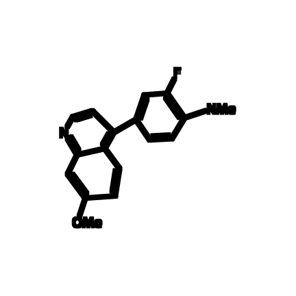 CNc1ccc(-c2ccnc3cc(OC)ccc23)cc1F